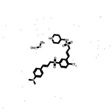 CC(C)(C)OC=O.CN(C)c1ccc(C=CCS(=O)(=O)c2ccc(C(F)(F)F)c(C=CCS(=O)(=O)NC3CCNCC3)c2)cc1